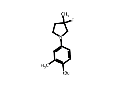 Cc1cc(N2CCC(C)(F)C2)ccc1C(C)(C)C